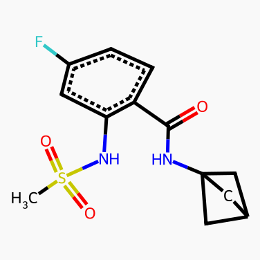 CS(=O)(=O)Nc1cc(F)ccc1C(=O)NC12CC(C1)C2